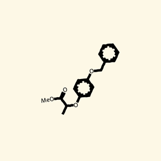 [CH2]OC(=O)C(C)Oc1ccc(OCc2ccccc2)cc1